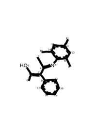 C/C(O)=C(/C(C)=N/c1c(C)cc(C)cc1C)c1ccccc1